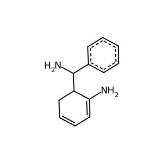 NC1=CC=CCC1C(N)c1ccccc1